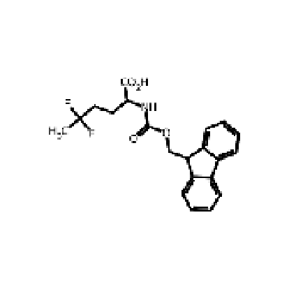 CC(F)(F)CCC(NC(=O)OCC1c2ccccc2-c2ccccc21)C(=O)O